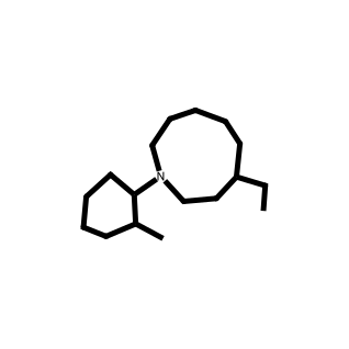 CCC1CCCCCN(C2CCCCC2C)CC1